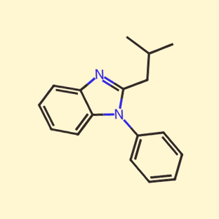 CC(C)Cc1nc2ccccc2n1-c1ccccc1